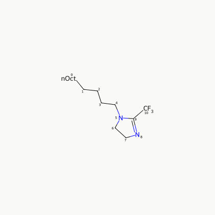 CCCCCCCCCCCCN1CCN=C1C(F)(F)F